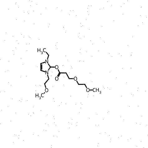 CCN1C=CN(CCOC)C1OC(=O)CCOCCOC